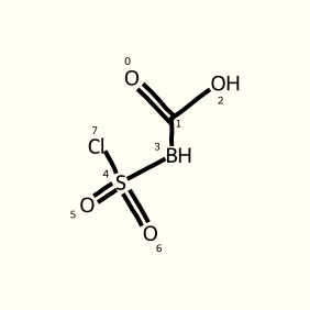 O=C(O)BS(=O)(=O)Cl